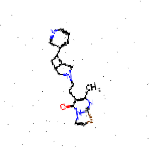 Cc1nc2sccn2c(=O)c1CCN1CC2CC(c3cccnc3)C2C1